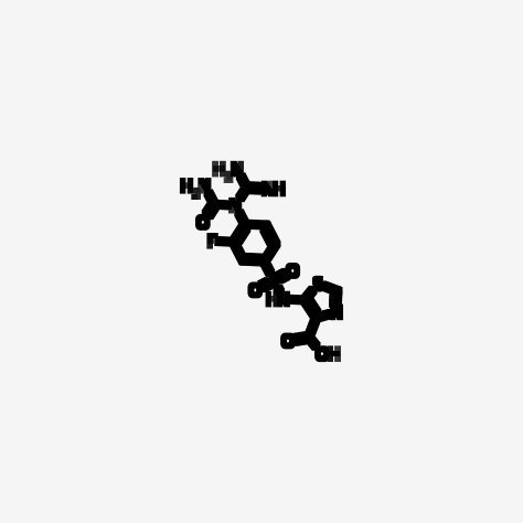 N=C(N)N(C(N)=O)c1ccc(S(=O)(=O)Nc2scnc2C(=O)O)cc1F